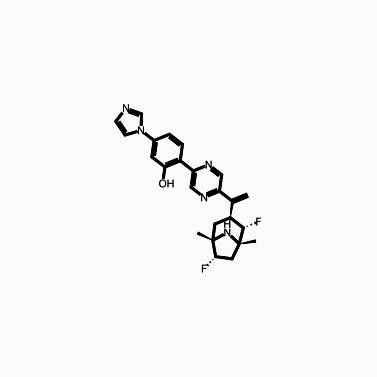 C=C(c1cnc(-c2ccc(-n3ccnc3)cc2O)cn1)[C@@H]1C[C@]2(C)N[C@@](C)(C[C@@H]2F)[C@H]1F